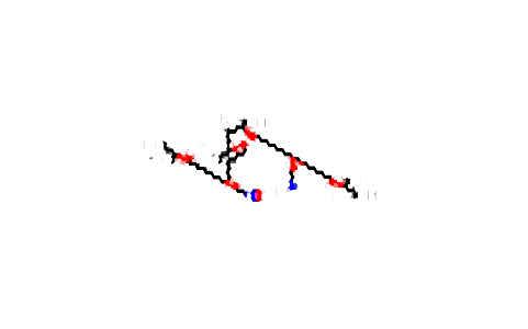 CC(C)CCC(COC(=O)CCCCCCCCCC(CCCCCCCCCC(=O)OCC(CCC(C)CCC(C)C(CCC(C)C)COC(=O)CCCCCCCCCC(CCCCCCCCCC(=O)OCC(CCC(C)C)C(C)C)OC(=O)CCCN1CCOCC1)C(C)C)OC(=O)CCCN(C)C)C(C)C